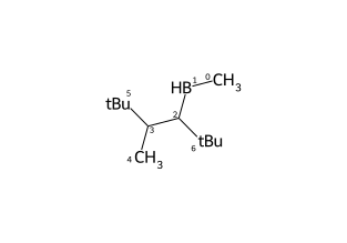 CBC(C(C)C(C)(C)C)C(C)(C)C